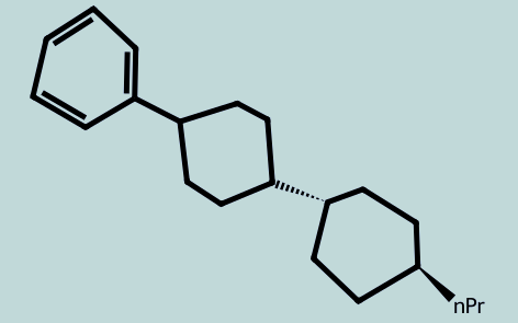 CCC[C@H]1CC[C@H](C2CCC(c3ccccc3)CC2)CC1